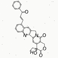 CC[C@@]1(O)C(=O)OCc2c1cc1n(c2=O)Cc2cc3c(C=CC(=O)c4ccccc4)cccc3nc2-1